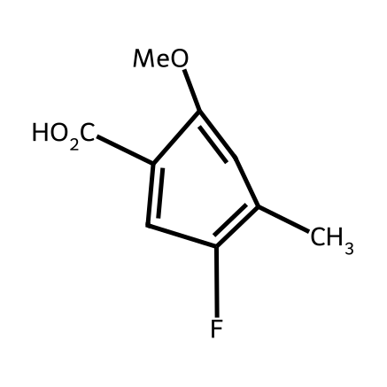 COc1cc(C)c(F)cc1C(=O)O